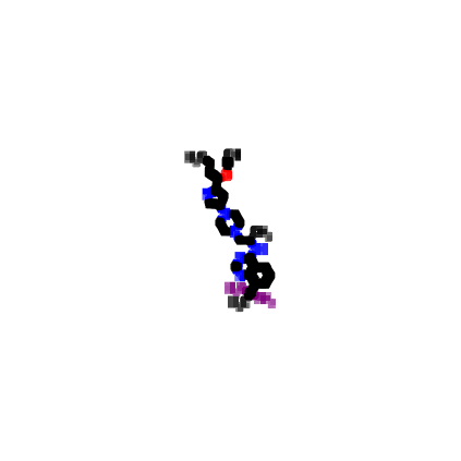 C#CO/C(=C\CC)C1=NC=C(N2CCN(C[C@H](C)Nc3ncnc4c(C(C)(P)P)cccc34)CC2)C1